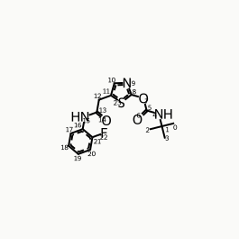 CC(C)(C)NC(=O)Oc1ncc(CC(=O)Nc2ccccc2F)s1